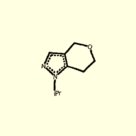 CC(C)n1ncc2c1CCOC2